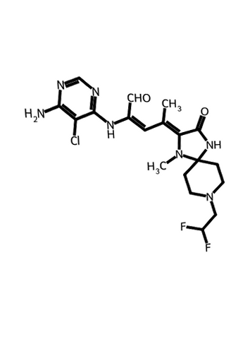 CC(/C=C(\C=O)Nc1ncnc(N)c1Cl)=C1\C(=O)NC2(CCN(CC(F)F)CC2)N1C